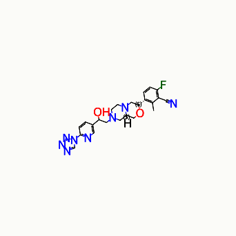 Cc1c([C@H]2CN3CCN(CC(O)c4ccc(-n5cnnn5)nc4)C[C@H]3CO2)ccc(F)c1C#N